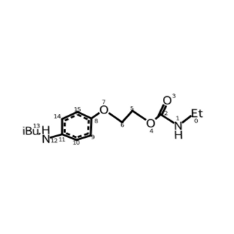 CCNC(=O)OCCOc1ccc(NC(C)CC)cc1